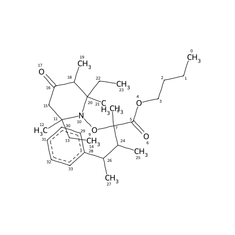 CCCCOC(=O)C(C)(ON1C(C)(CC)CC(=O)C(C)C1(C)CC)C(C)C(C)c1ccccc1